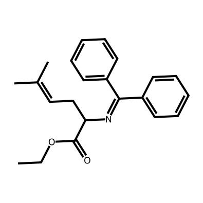 CCOC(=O)C(CC=C(C)C)N=C(c1ccccc1)c1ccccc1